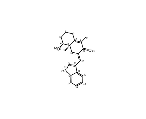 CC1=C2CCC[C@H](O)[C@@]2(C)C/C(=C\c2c[nH]c3ccccc23)C1=O